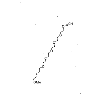 C#COCCOCCOCCOCCOCCOCCOCCOC